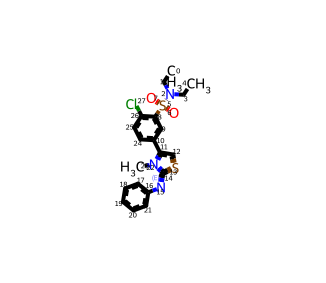 CCN(CC)S(=O)(=O)c1cc(-c2cs/c(=N/c3ccccc3)n2C)ccc1Cl